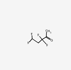 CC(=O)C(F)(F)CC(F)F